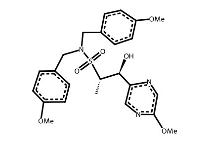 COc1ccc(CN(Cc2ccc(OC)cc2)S(=O)(=O)[C@@H](C)[C@@H](O)c2cnc(OC)cn2)cc1